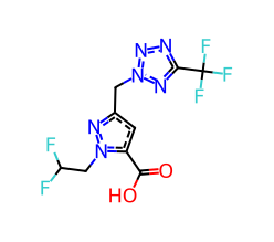 O=C(O)c1cc(Cn2nnc(C(F)(F)F)n2)nn1CC(F)F